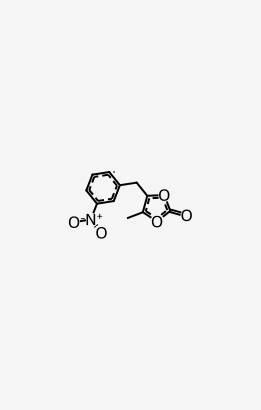 Cc1oc(=O)oc1Cc1[c]ccc([N+](=O)[O-])c1